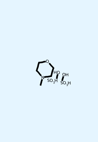 CN1CCOCC1.O=S(=O)(O)O.O=S(=O)(O)O